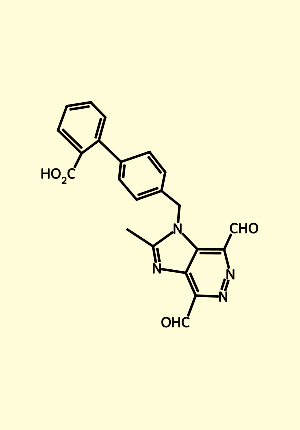 Cc1nc2c(C=O)nnc(C=O)c2n1Cc1ccc(-c2ccccc2C(=O)O)cc1